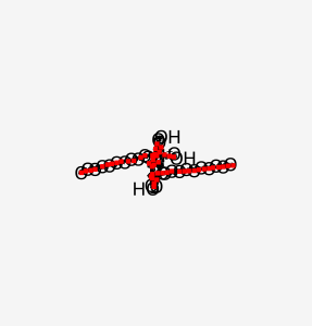 COCCOCCOCCOCCOCCOCCOCCOCCOCCOOCCN1C(=CC=C2CCC(C=CC3=[N+](CCCCCC(=O)O)c4ccc(SOOO)cc4C3(C)CCOOCCOCCOCCOCCOCCOCCOCCOCCOCCOC)=C2N2CCCC2)C(C)(C)c2cc(S(=O)(=O)O)ccc21